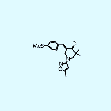 CSc1ccc(C=C2CN(c3cc(C)on3)CC(C)(C)C2=O)cc1